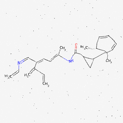 C=C\N=C/C(=C/C=C(\C)NC(=O)C1CC1C1(C)C=CC=C[C@H]1C)C(=C)C=C